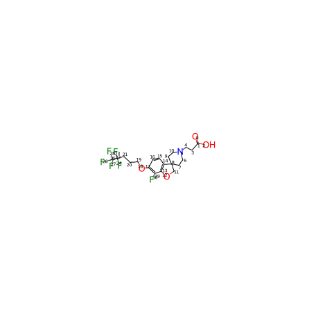 O=C(O)CCN1CCC2(CC1)COc1c2ccc(OCCCC(F)(F)C(F)(F)F)c1F